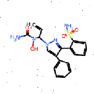 C=CC(N(O)C(N)=O)n1cc(-c2ccccc2)c(-c2ccccc2S(N)(=O)=O)n1